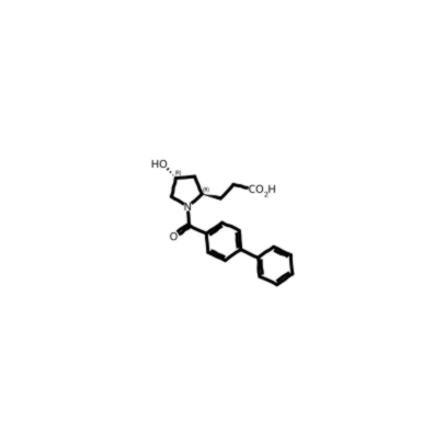 O=C(O)CC[C@@H]1C[C@@H](O)CN1C(=O)c1ccc(-c2ccccc2)cc1